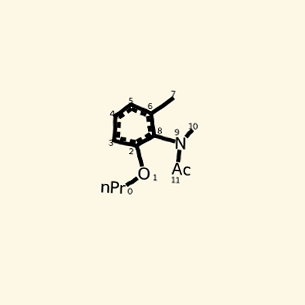 CCCOc1cccc(C)c1N(C)C(C)=O